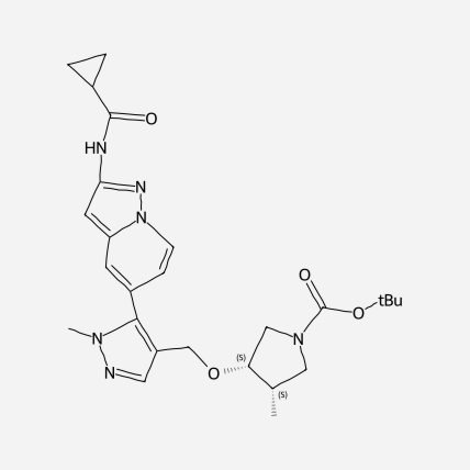 C[C@H]1CN(C(=O)OC(C)(C)C)C[C@H]1OCc1cnn(C)c1-c1ccn2nc(NC(=O)C3CC3)cc2c1